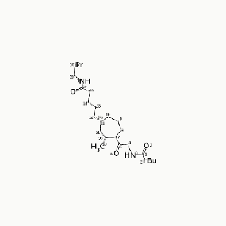 CCCCC(=O)NCC(=O)C1CCC[C@@H](CCCCC(=O)NCC(C)C)CC1C